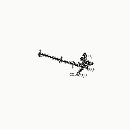 CN1CCC[C@H]1C(=O)N1CCC[C@H]1C(=O)N[C@@H](Cc1c[nH]cn1)C(=O)N[C@@H](CCC(=O)O)C(=O)N[C@@H](CCCCN(CC(=O)O)CC(=O)O)C(=O)N[C@@H](CCCCNC(=O)COCCOCCNC(=O)CCCCCCCCCCCCCCCc1nnn[nH]1)C(N)=O